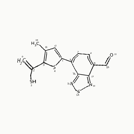 C=C(S)c1sc(-c2ccc(C=O)c3nsnc23)cc1C